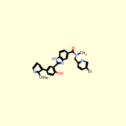 CCc1ccc(CN(C)C(=O)c2ccc3[nH]c(-c4cc(-c5cccnc5OC)ccc4O)nc3c2)nc1